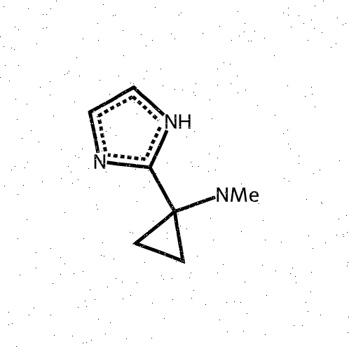 CNC1(c2ncc[nH]2)CC1